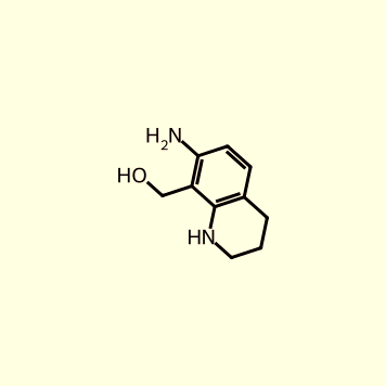 Nc1ccc2c(c1CO)NCCC2